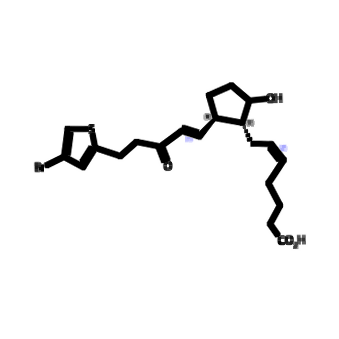 O=C(O)CCC/C=C\C[C@H]1C(O)CC[C@@H]1/C=C/C(=O)CCc1cc(Br)cs1